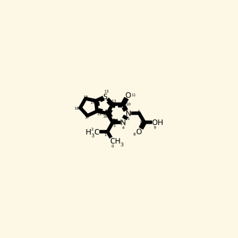 CC(C)c1nn(CC(=O)O)c(=O)c2sc3c(c12)CCC3